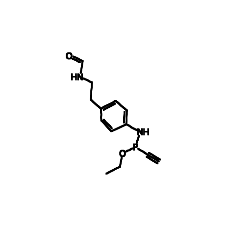 C#CP(Nc1ccc(CCNC=O)cc1)OCC